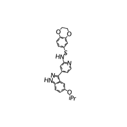 CC(C)Oc1ccc2[nH]nc(-c3ccnc(NSc4ccc5c(c4)OCCO5)c3)c2c1